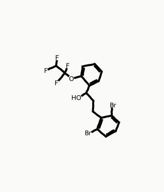 OC(CCc1c(Br)cccc1Br)c1ccccc1OC(F)(F)C(F)F